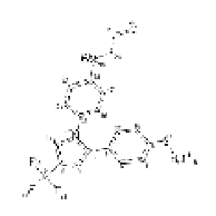 CSc1ccc(-c2cc(C(F)(F)F)nn2-c2ccc(NCC=O)cc2)cc1